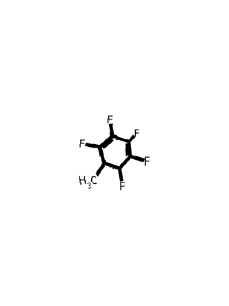 CC1C(F)=C(F)C(F)=C(F)C1F